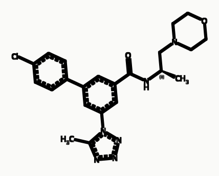 Cc1nnnn1-c1cc(C(=O)N[C@H](C)CN2CCOCC2)cc(-c2ccc(Cl)cc2)c1